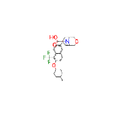 C[C@H]1CC[C@@H](Oc2ccc3cc(CN4C5COCC4CC(C(=O)O)C5)ccc3c2C(F)(F)F)CC1